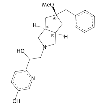 CO[C@@]1(Cc2ccccc2)C[C@H]2CN(CC(O)c3ccc(O)cn3)C[C@H]2C1